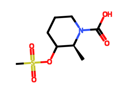 C[C@H]1C(OS(C)(=O)=O)CCCN1C(=O)O